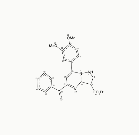 CCOC(=O)C1CNN2C(c3ccc(OC)c(OC)c3)=CC(C(=O)c3ccccc3)=NC12